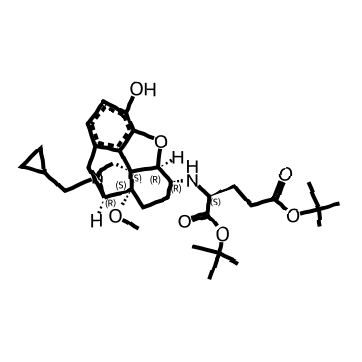 CO[C@@]12CC[C@@H](N[C@@H](CCC(=O)OC(C)(C)C)C(=O)OC(C)(C)C)[C@@H]3Oc4c(O)ccc5c4[C@@]31CCN(CC1CC1)[C@@H]2C5